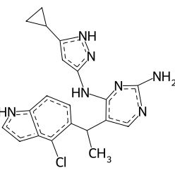 CC(c1cnc(N)nc1Nc1cc(C2CC2)[nH]n1)c1ccc2[nH]ccc2c1Cl